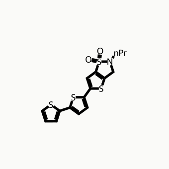 CCCN1Cc2sc(-c3ccc(-c4cccs4)s3)cc2S1(=O)=O